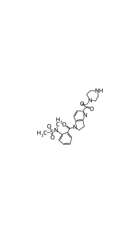 CN(c1ccccc1C(=O)N1CCc2nc(S(=O)(=O)N3CCNCC3)ccc21)S(C)(=O)=O